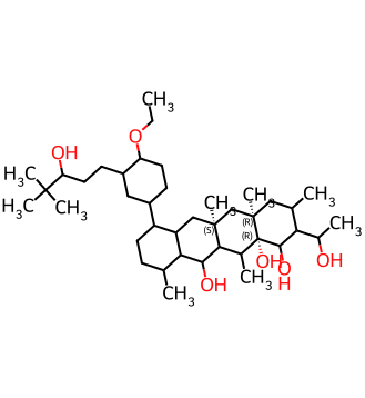 CCOC1CCC(C2CCC(C)C3C(O)C4C(C)[C@]5(O)C(O)C(C(C)O)C(C)C[C@]5(C)C[C@]4(C)CC23)CC1CCC(O)C(C)(C)C